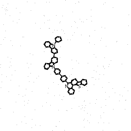 c1ccc(-n2c3ccccc3c3cc(-c4ccc5c(c4)c4ccccc4n5-c4ccc(-c5ccc(-c6nc7ccccc7c7c6ccc6c8ccccc8sc67)cc5)cc4)ccc32)cc1